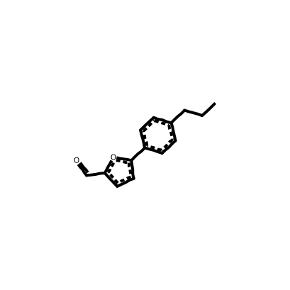 CCCc1ccc(-c2ccc(C=O)o2)cc1